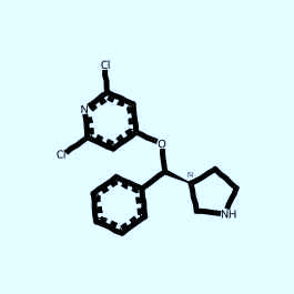 Clc1cc(OC(c2ccccc2)[C@H]2CCNC2)cc(Cl)n1